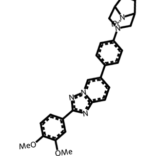 COc1ccc(-c2nc3ccc(-c4ccc(N5CC6CCC(C5)N6C(C)C)cc4)cn3n2)cc1OC